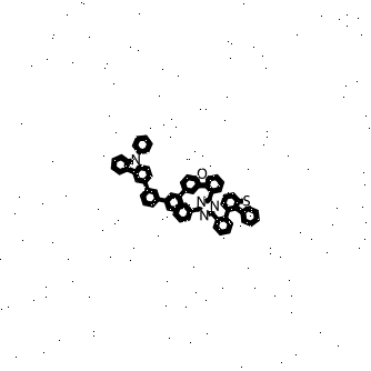 c1ccc(-c2nc(-c3ccccc3-c3cccc4sc5ccccc5c34)nc(-c3cccc4oc5ccc(-c6cccc(-c7cccc(-c8ccc9c(c8)c8ccccc8n9-c8ccccc8)c7)c6)cc5c34)n2)cc1